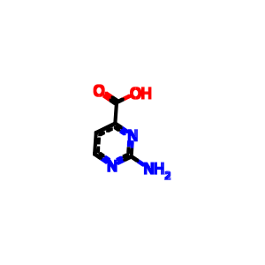 Nc1nccc(C(=O)O)n1